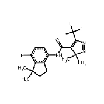 CC1(C)N=NC(C(F)(F)F)=C1C(=O)Nc1ccc(F)c2c1CCC2(C)C